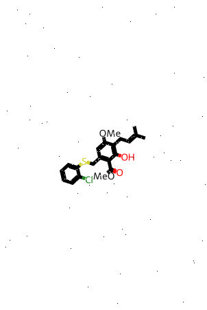 COC(=O)c1c(CSc2ccccc2Cl)cc(OC)c(CC=C(C)C)c1O